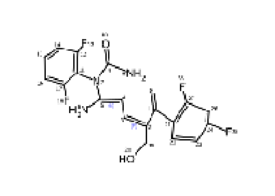 C=C(/C(=C\C=C(/N)N(C(N)=O)c1c(F)cccc1F)CO)c1ccc(F)cc1F